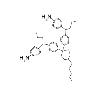 CCCCCC1CCC(c2ccc(C(CCC)c3ccc(N)cc3)cc2)(c2ccc(C(CCC)c3ccc(N)cc3)cc2)CC1